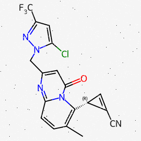 Cc1ccc2nc(Cn3nc(C(F)(F)F)cc3Cl)cc(=O)n2c1[C@@H]1C=C1C#N